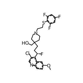 COc1ccc2ncc(Cl)c([C@H](F)CCC3(CO)CCN(CCSc4c(F)cc(F)cc4F)CC3)c2c1